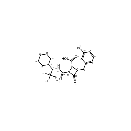 O=C(O)[C@@H]1[C@@H](Cc2cccc(Br)c2)C(=O)N1C(=O)N[C@@H](C1CCCCC1)C(F)(F)F